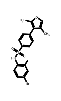 Cc1coc(C)c1-c1ccc(S(=O)(=O)Nc2ccc(Br)cc2F)cc1